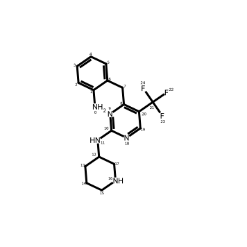 Nc1ccccc1Cc1nc(NC2CCCNC2)ncc1C(F)(F)F